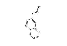 CC(C)OCc1cnc2ccccc2c1